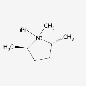 CC(C)[N+]1(C)[C@H](C)CC[C@H]1C